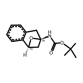 CC(C)(C)OC(=O)N[C@@]12Cc3ccccc3[C@H](C1)O2